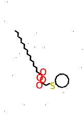 CCCCCCCCCCCCCCCC(=O)OOC(=O)CCSC1CCCCCCCCCC1